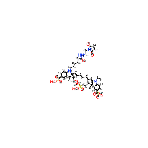 CCN1/C(=C/C=C/C=C/C=C/C2=[N+](CCCCCC(=O)NCCN3C(=O)C=CC3=O)c3ccc(S(=O)(=O)O)cc3C2(C)CCOC)C(C)(CCCS(=O)(=O)O)c2cc(S(=O)(=O)O)ccc21